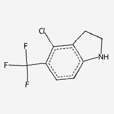 FC(F)(F)c1ccc2c(c1Cl)CCN2